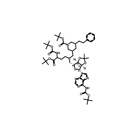 CC(C)(C)OC(=O)Nc1ncnc2c1ncn2[C@@H]1O[C@H](CN(CCC(NC(=O)OC(C)(C)C)C(=O)OC(C)(C)C)CC2CC(CCc3ccccc3)CN(C(=O)OC(C)(C)C)C2)[C@H]2OC(C)(C)O[C@H]21